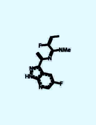 C=C(/N=C(NC)\C(F)=C/C)c1n[nH]c2ncc(F)cc12